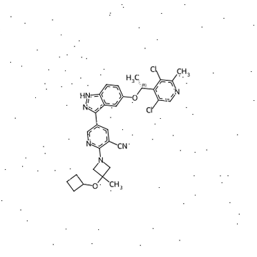 Cc1ncc(Cl)c([C@@H](C)Oc2ccc3[nH]nc(-c4cnc(N5CC(C)(OC6CCC6)C5)c(C#N)c4)c3c2)c1Cl